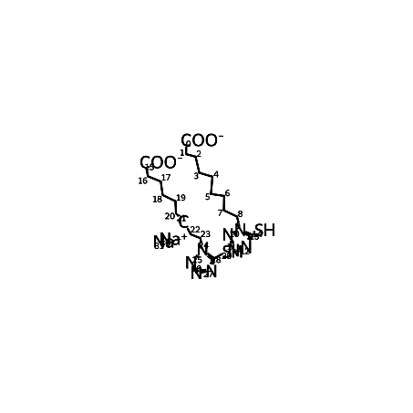 O=C([O-])CCCCCCCCn1nnnc1S.O=C([O-])CCCCCCCCn1nnnc1S.[Na+].[Na+]